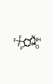 O=c1[nH]nc2cc(C(F)(F)F)c(F)cn12